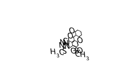 CSc1nnnn1Cc1c(S(C)(=O)=O)ccc(C(=O)C2C(=O)CCCC2=O)c1Cl